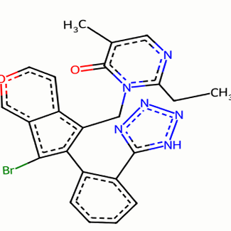 CCc1ncc(C)c(=O)n1Cc1c2ccocc-2c(Br)c1-c1ccccc1-c1nnn[nH]1